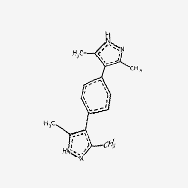 Cc1n[nH]c(C)c1-c1ccc(-c2c(C)n[nH]c2C)cc1